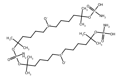 CC(C)(CCCC[S+]([O-])CCCCC(C)(C)OP(N)(=O)OC(C)(C)CCCC[S+]([O-])CCCCC(C)(C)OP(N)(=O)O)OP(N)(=O)O